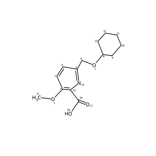 COc1ccc(COC2CCCCC2)nc1C(=O)O